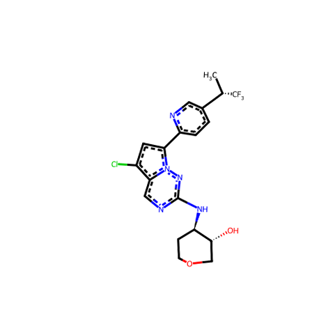 C[C@@H](c1ccc(-c2cc(Cl)c3cnc(N[C@@H]4CCOC[C@H]4O)nn23)nc1)C(F)(F)F